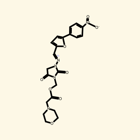 O=C(CN1CCOCC1)OCN1C(=O)CN(/N=C/c2ccc(-c3ccc([N+](=O)[O-])cc3)o2)C1=O